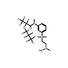 CN(C(=O)C(F)(OC(F)(F)C(F)(F)C(F)(F)F)C(F)(F)F)c1cccc([Si](C)(C)CC[SiH](C)O)c1